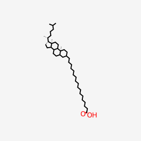 CC(C)CCC[C@@H](C)[C@H]1CCC2C3CCC4CC(CCCCCCCCCCCCCCCCCC(=O)O)CC[C@]4(C)C3CC[C@@]21C